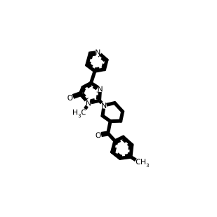 Cc1ccc(C(=O)C2CCCN(c3nc(-c4ccncc4)cc(=O)n3C)C2)cc1